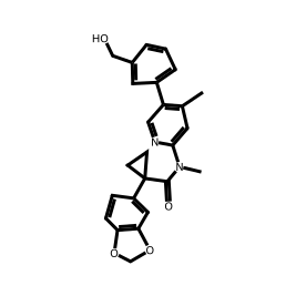 Cc1cc(N(C)C(=O)C2(c3ccc4c(c3)OCO4)CC2)ncc1-c1cccc(CO)c1